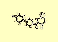 CC(C)N1CCNC(C(=O)N2CCN(c3ccc(F)cc3)CC2)C1